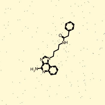 Nc1nc2ccccc2c2c1ncn2CCCCNC(=O)Cc1ccccc1